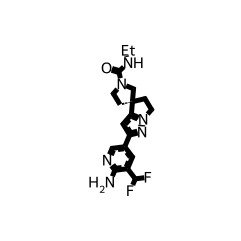 CCNC(=O)N1CC[C@@]2(CCn3nc(-c4cnc(N)c(C(F)F)c4)cc32)C1